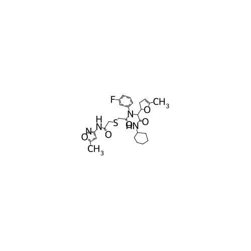 CC1=CCC(C(C(=O)NC2CCCCC2)N(C(=O)CSCC(=O)Nc2cc(C)on2)c2cccc(F)c2)O1